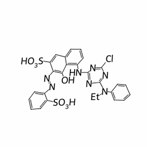 CCN(c1ccccc1)c1nc(Cl)nc(Nc2cccc3cc(S(=O)(=O)O)c(/N=N/c4ccccc4S(=O)(=O)O)c(O)c23)n1